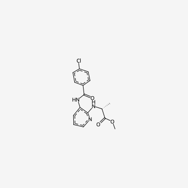 COC(=O)[C@@H](C)Nc1ncccc1NC(=O)c1ccc(Cl)cc1